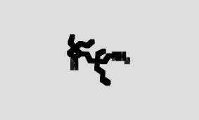 C=CCCC(CC)(CCN)CCC1NCC1(CC)CCC